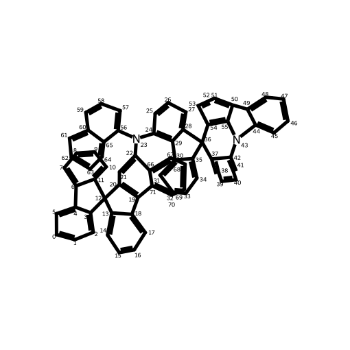 c1ccc2c(c1)-c1ccccc1C21c2ccccc2-c2c1cc(N(c1cccc3c1-c1ccccc1C31c3ccccc3-n3c4ccccc4c4cccc1c43)c1cccc3ccccc13)c1ccccc21